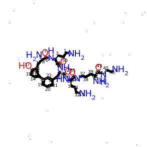 NCCC[C@@H]1NC(=O)[C@@H](N)Cc2cc(ccc2O)-c2cccc(c2)C[C@@H](C(=O)N[C@H](CCCN)C(=O)NCCC[C@H](N)C(=O)NCCN)NC1=O